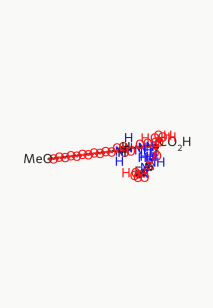 CC[C@@]1(O)C(=O)OCc2c1cc1n(c2=O)Cc2c-1nc1ccc(NC(=O)CNC(=O)OCc3ccc(O[C@@H]4O[C@H](C(=O)O)[C@@H](O)[C@H](O)[C@H]4O)c(CNC(=O)CCNC(=O)[C@@H](N)CCCC(=O)N[C@H]4CO[C@H]5[C@@H]4OC[C@@H]5NC(=O)CCOCCOCCOCCOCCOCCOCCOCCOCCOCCOCCOCCOC)c3)c3c1c2CCC3